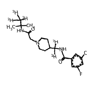 [2H]C([2H])(NC(=O)c1cc(F)cc(Cl)c1)C1CCN(CC(=O)NC(C)(C)C([2H])([2H])[2H])CC1